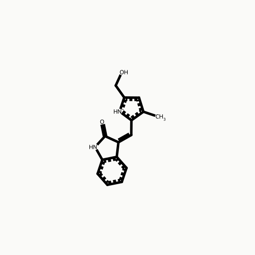 Cc1cc(CO)[nH]c1C=C1C(=O)Nc2ccccc21